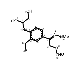 CCCC(CO)Nc1ccc(/C(COC=O)=N/NC)cc1CF